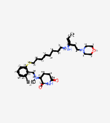 CC/C=C(\CCN1CCOCC1)NCCCCCCCCSc1cccc(C=O)c1CN(C)C1CCC(=O)NC1=O